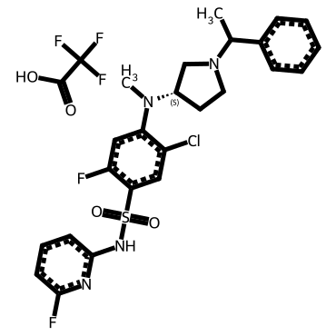 CC(c1ccccc1)N1CC[C@H](N(C)c2cc(F)c(S(=O)(=O)Nc3cccc(F)n3)cc2Cl)C1.O=C(O)C(F)(F)F